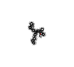 C/C=C\c1c(CC)n(-c2ccccc2-c2ccc(N(c3ccc(-c4ccc5c(ccc6ccccc65)c4)cc3)c3ccc(-c4cccc5c4oc4ccccc45)cc3)cc2)c2ccccc12